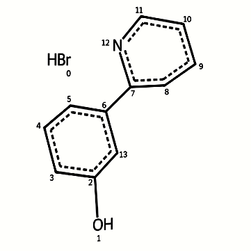 Br.Oc1cccc(-c2ccccn2)c1